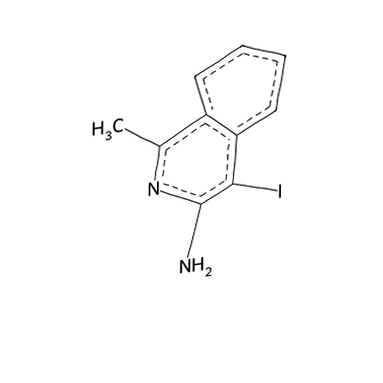 Cc1nc(N)c(I)c2ccccc12